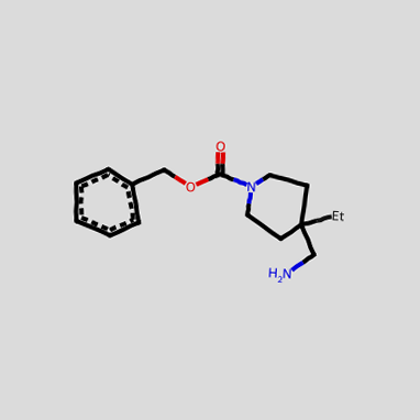 CCC1(CN)CCN(C(=O)OCc2ccccc2)CC1